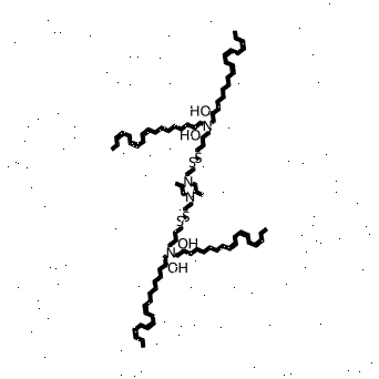 CC/C=C\C/C=C\C/C=C\CCCCCCC(O)CN(CCCCSSCCN1CC(C)N(CCSSCCCCN(CC(O)CCCCCC/C=C\C/C=C\C/C=C\CC)CC(O)CCCCCC/C=C\C/C=C\C/C=C\CC)CC1C)CC(O)CCCCCC/C=C\C/C=C\C/C=C\CC